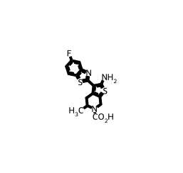 CC1Cc2c(sc(N)c2-c2nc3cc(F)ccc3s2)CN1C(=O)O